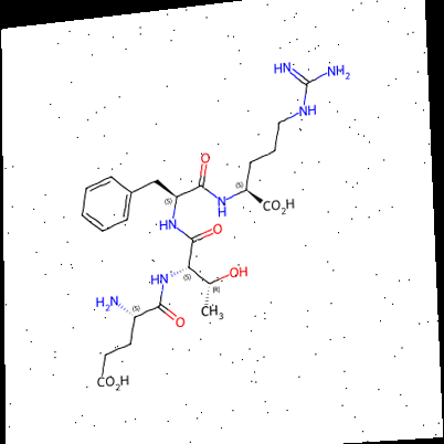 C[C@@H](O)[C@H](NC(=O)[C@@H](N)CCC(=O)O)C(=O)N[C@@H](Cc1ccccc1)C(=O)N[C@@H](CCCNC(=N)N)C(=O)O